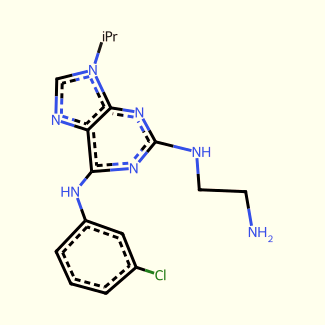 CC(C)n1cnc2c(Nc3cccc(Cl)c3)nc(NCCN)nc21